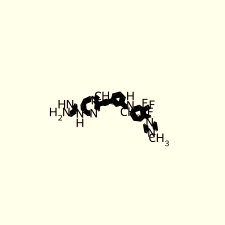 C=C(NC1=CC(C(F)(F)F)=C(CN2CCN(C)CC2)CC=C1)c1cccc(C#Cc2cncc(N/C(C=N)=C/N)cccn2C)c1